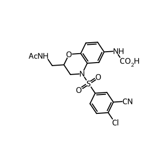 CC(=O)NCC1CN(S(=O)(=O)c2ccc(Cl)c(C#N)c2)c2cc(NC(=O)O)ccc2O1